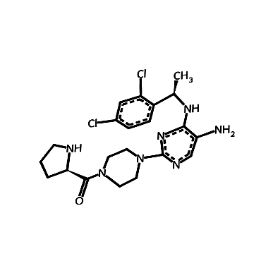 C[C@@H](Nc1nc(N2CCN(C(=O)[C@H]3CCCN3)CC2)ncc1N)c1ccc(Cl)cc1Cl